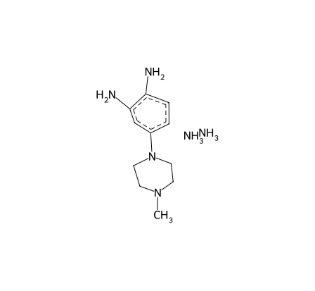 CN1CCN(c2ccc(N)c(N)c2)CC1.N.N